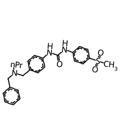 CCCN(Cc1ccccc1)Cc1ccc(NC(=O)Nc2ccc(S(C)(=O)=O)cc2)cc1